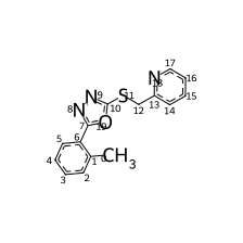 Cc1ccccc1-c1nnc(SCc2ccccn2)o1